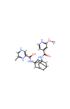 CCOc1cc(C(=O)NC23CC4CC(C2)CC(NC(=O)c2cncc(C)n2)(C4)C3)ccn1